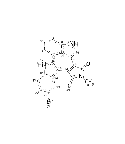 CN1C(=O)C(c2c[nH]c3ccccc23)=C(c2c[nH]c3ccc(Br)cc23)C1=O